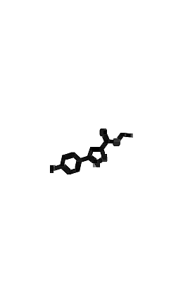 CCOC(=O)c1cc(-c2ccc(F)cc2)ns1